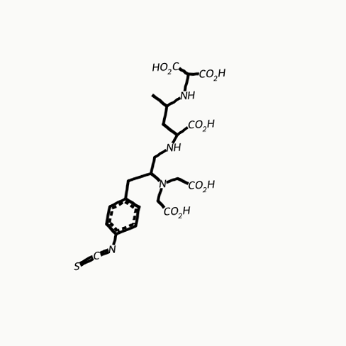 CC(CC(NCC(Cc1ccc(N=C=S)cc1)N(CC(=O)O)CC(=O)O)C(=O)O)NC(C(=O)O)C(=O)O